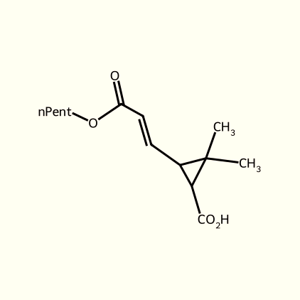 CCCCCOC(=O)C=CC1C(C(=O)O)C1(C)C